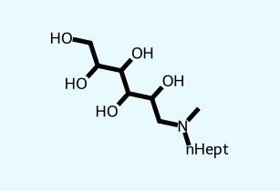 CCCCCCCN(C)CC(O)C(O)C(O)C(O)CO